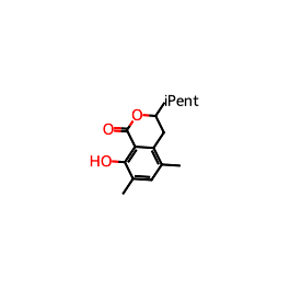 CCCC(C)C1Cc2c(C)cc(C)c(O)c2C(=O)O1